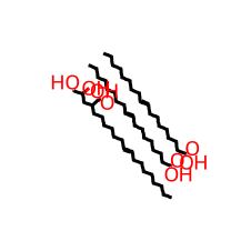 CCCCCCCCC=CCCCCCCC(CC(O)CO)C(=O)O.CCCCCCCCC=CCCCCCCCC(=O)O.CCCCCCCCC=CCCCCCCCC(=O)O